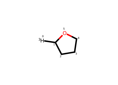 [3H]C1CCCO1